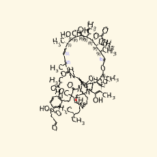 CC(=O)Oc1ccc(P(=O)(O)CC=O)cc1CC(C)(C)C(=O)N1C2C(=NC13CCN(CC(C)C)CC3)c1c3c(O)c(C)c4c1C(=O)[C@@](C)(O/C=C/[C@H](C)[C@@H](C)[C@@H](OC(C)=O)[C@H](C)[C@H](O)[C@H](C)[C@@H](O)[C@@H](C)/C=C/C=C(/C)C(=O)NC2=C3O)O4